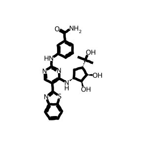 CC(C)(O)[C@H]1C[C@@H](Nc2nc(Nc3cccc(C(N)=O)c3)ncc2-c2nc3ccccc3s2)[C@H](O)[C@@H]1O